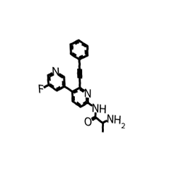 CC(N)C(=O)Nc1ccc(-c2cncc(F)c2)c(C#Cc2ccccc2)n1